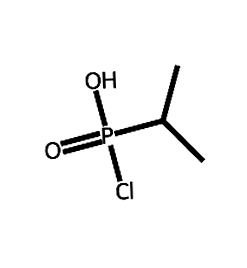 CC(C)P(=O)(O)Cl